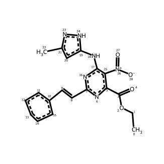 CCOC(=O)c1nc(/C=C/c2ccccc2)nc(Nc2cc(C)n[nH]2)c1[N+](=O)[O-]